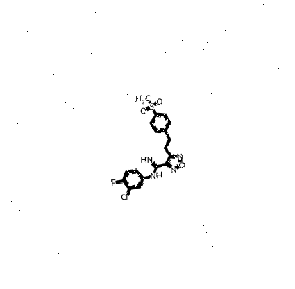 CS(=O)(=O)c1ccc(CCc2nonc2C(=N)Nc2ccc(F)c(Cl)c2)cc1